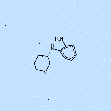 Nc1ccccc1N[C@H]1CCCOC1